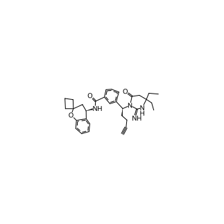 C#CCC[C@@H](c1cccc(C(=O)N[C@@H]2CC3(CCC3)Oc3ccccc32)c1)N1C(=N)NC(CC)(CC)CC1=O